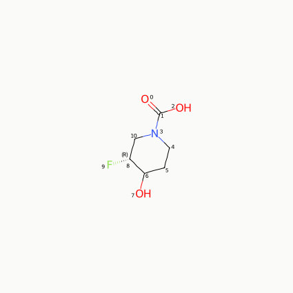 O=C(O)N1CCC(O)[C@H](F)C1